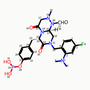 CN(C)c1cc(F)ccc1CN1C[C@H]2N(C(=O)CN(C)N2C=O)[C@@H](Cc2ccc(OP(O)O)cc2)C1=O